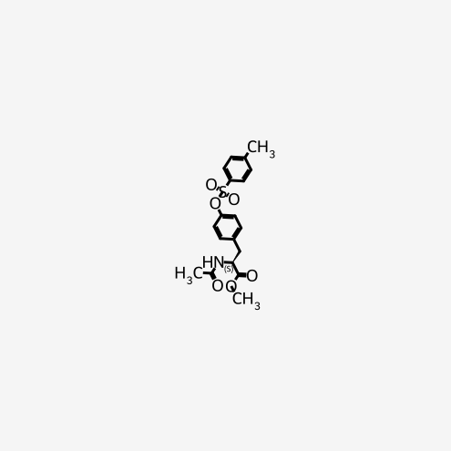 COC(=O)[C@H](Cc1ccc(OS(=O)(=O)c2ccc(C)cc2)cc1)NC(C)=O